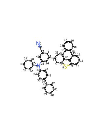 N#Cc1cc(-c2cc3sc4cccc5c6ccccc6c(c2)c3c45)cc(N(c2ccccc2)c2ccc(-c3ccccc3)cc2)c1